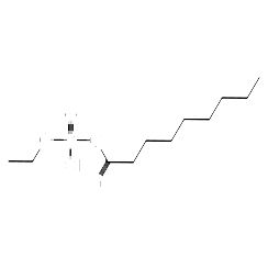 CCCCCCCCC(=O)OP(=O)(O)OCC